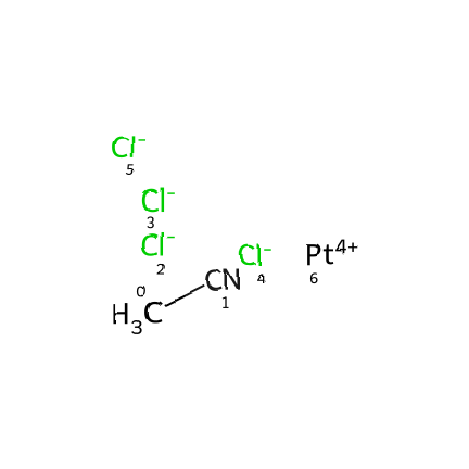 CC#N.[Cl-].[Cl-].[Cl-].[Cl-].[Pt+4]